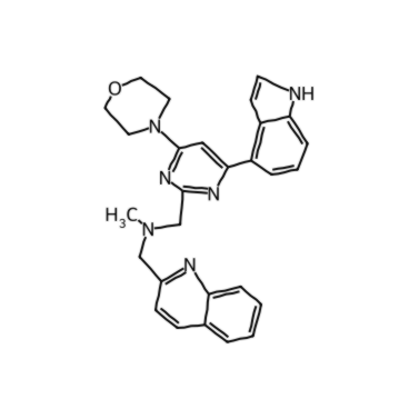 CN(Cc1ccc2ccccc2n1)Cc1nc(-c2cccc3[nH]ccc23)cc(N2CCOCC2)n1